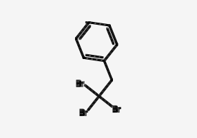 BrC(Br)(Br)Cc1cc[c]cc1